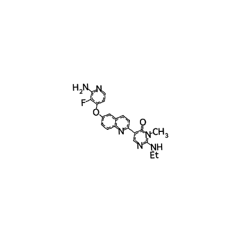 CCNc1ncc(-c2ccc3cc(Oc4ccnc(N)c4F)ccc3n2)c(=O)n1C